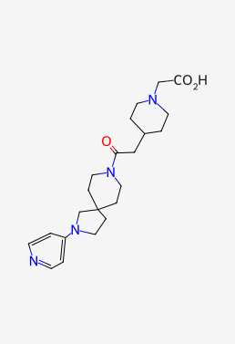 O=C(O)CN1CCC(CC(=O)N2CCC3(CC2)CCN(c2ccncc2)C3)CC1